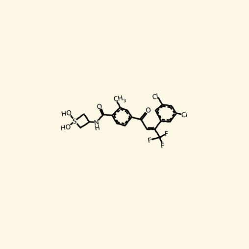 Cc1cc(C(=O)/C=C(\c2cc(Cl)cc(Cl)c2)C(F)(F)F)ccc1C(=O)NC1CS(O)(O)C1